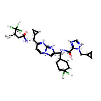 C[C@H](CC(=O)N[C@@H](c1ccn2cc([C@@H](NC(=O)c3ncnn3CC3CC3)C3CCC(F)(F)CC3)nc2n1)C1CC1)C(F)(F)F